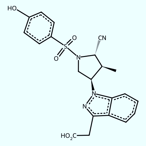 C[C@@H]1[C@@H](C#N)N(S(=O)(=O)c2ccc(O)cc2)C[C@@H]1n1nc(CC(=O)O)c2ccccc21